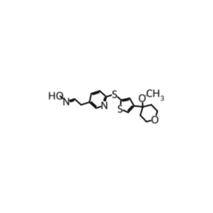 COC1(c2csc(Sc3ccc(CC=NO)cn3)c2)CCOCC1